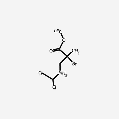 CCCOC(=O)C(C)(Br)C[SiH2]C(Cl)Cl